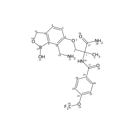 CC(COc1ccc2c(c1CN)B(O)OC2)(NC(=O)c1ccc(OC(F)(F)F)cc1)C(N)=O